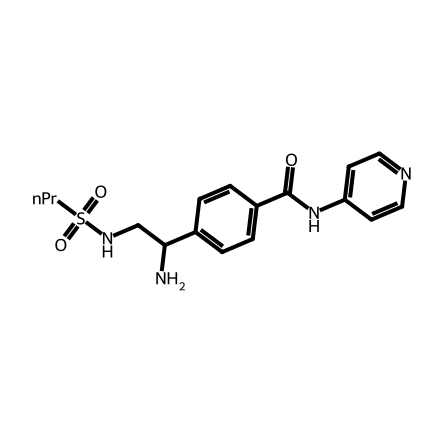 CCCS(=O)(=O)NCC(N)c1ccc(C(=O)Nc2ccncc2)cc1